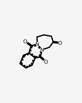 O=C1CCCn2c(=O)c3ccccc3c(=O)n2C1